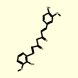 COc1cc(C=CC(=O)CC(=O)C=Cc2cccc(OC)c2O)ccc1O